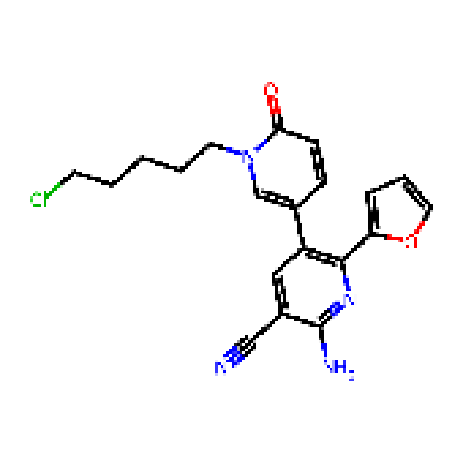 N#Cc1cc(-c2ccc(=O)n(CCCCCCl)c2)c(-c2ccco2)nc1N